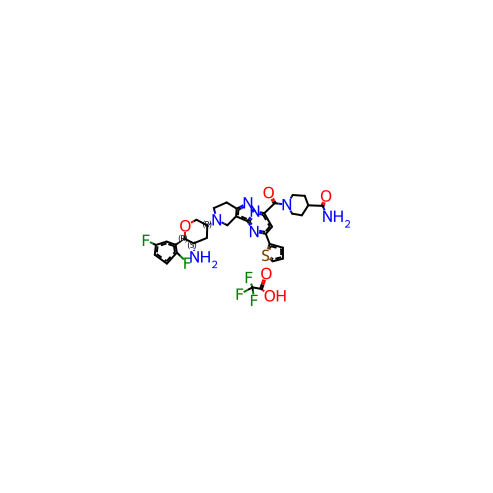 NC(=O)C1CCN(C(=O)c2cc(-c3cccs3)nc3c4c(nn23)CCN([C@H]2CO[C@H](c3cc(F)ccc3F)[C@@H](N)C2)C4)CC1.O=C(O)C(F)(F)F